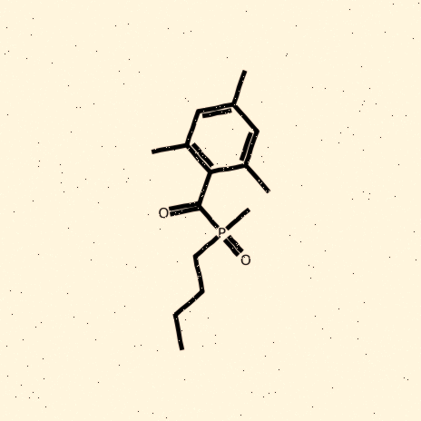 CCCCP(C)(=O)C(=O)c1c(C)cc(C)cc1C